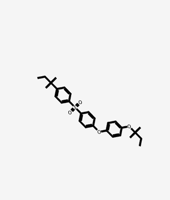 CCC(C)(C)Oc1ccc(Oc2ccc(S(=O)(=O)c3ccc(C(C)(C)CC)cc3)cc2)cc1